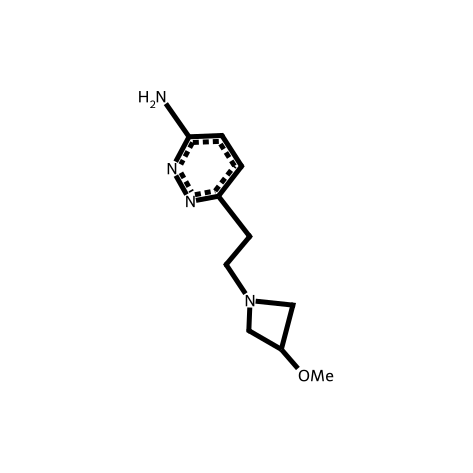 COC1CN(CCc2ccc(N)nn2)C1